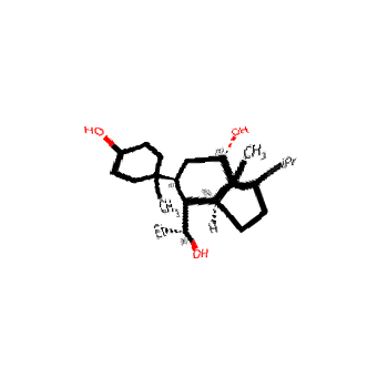 CC[C@@H](O)C1[C@@H](C2(C)CCC(O)CC2)C[C@H](O)C2(C)C(C(C)C)CC[C@@H]12